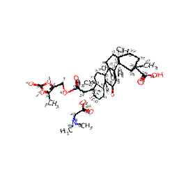 Cc1oc(=O)oc1COC(=O)C[C@@]1(C)[C@@H]2CC[C@]3(C)[C@H](C(=O)C=C4[C@@H]5C[C@@](C)(C(=O)O)CC[C@]5(C)CC[C@]43C)[C@@]2(C)CC[C@@H]1OC(=O)CN(C)C